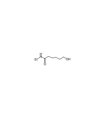 CCNC(=O)CCCCCO